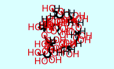 OC[C@H]1O[C@@H]2O[C@H]3C(O)C(O)[C@H](O[C@@H]3CO)O[C@H]3C(O)C(O)[C@H](O[C@@H]3CO)O[C@H]3C(O)C(O)[C@H](O[C@@H]3CO)O[C@H]3C(O)C(O)[C@H](O[C@@H]3CO)O[C@H]3C(OC4(O)O[C@H](CO)[C@@H](O)[C@H](O)[C@H]4O)C(O)C(OC1C(OC1(O)O[C@H](CO)[C@@H](O)[C@H](O)[C@H]1O)C2O)O[C@@H]3CO